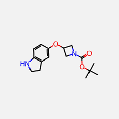 CC(C)(C)OC(=O)N1CC(Oc2ccc3c(c2)CCN3)C1